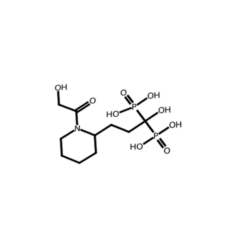 O=C(CO)N1CCCCC1CCC(O)(P(=O)(O)O)P(=O)(O)O